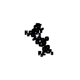 C=C(C)C(=O)OC(CC(C)C)CC(O/C=C(\C)C(=O)OC1C2CC3C1OC(=O)C3C2C(=O)OC(C(F)(F)F)C(F)(F)F)(C(F)(F)F)C(F)(F)F